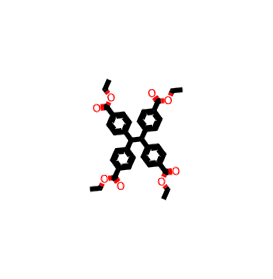 CCOC(=O)c1ccc(C(c2ccc(C(=O)OCC)cc2)C(c2ccc(C(=O)OCC)cc2)c2ccc(C(=O)OCC)cc2)cc1